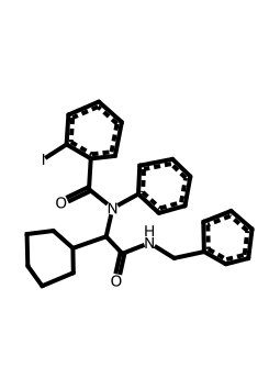 O=C(NCc1ccccc1)C(C1CCCCC1)N(C(=O)c1ccccc1I)c1ccccc1